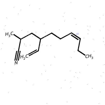 C=CC(CC/C=C\CC)CC(C)C#N